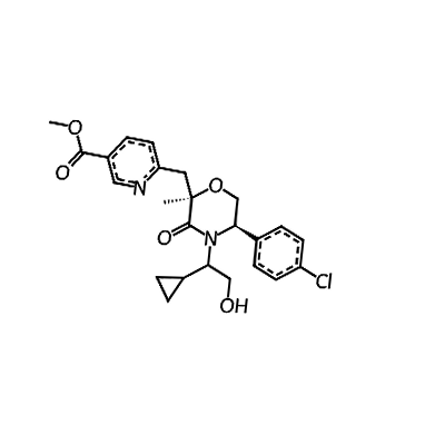 COC(=O)c1ccc(C[C@@]2(C)OC[C@@H](c3ccc(Cl)cc3)N(C(CO)C3CC3)C2=O)nc1